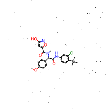 COc1ccc(C(C(=O)Nc2ccc([Si](C)(C)C)c(Cl)c2)N(C)C(=O)c2cc(O)no2)cc1